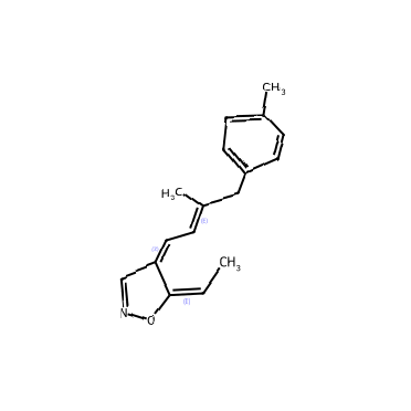 C/C=c1/onc/c1=C/C=C(\C)Cc1ccc(C)cc1